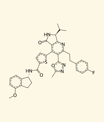 COc1cccc2c1CC[C@H]2NC(=O)c1ccc(-c2c3c(nc(CCc4ccc(F)cc4)c2-c2nnc(C)o2)[C@H](C(C)C)NC3=O)s1